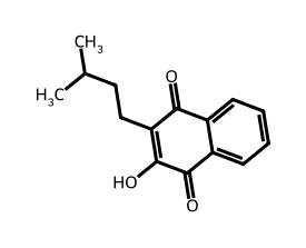 CC(C)CCC1=C(O)C(=O)c2ccccc2C1=O